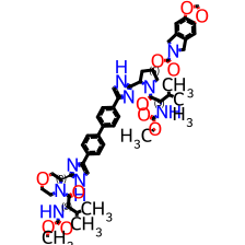 COC(=O)N[C@H](C(=O)N1C[C@@H](OC(=O)N2Cc3cc4c(cc3C2)OCO4)CC1c1nc(-c2ccc(-c3ccc(-c4c[nH]c([C@@H]5COCCN5C(=O)[C@@H](NC(=O)OC)C(C)C)n4)cc3)cc2)c[nH]1)C(C)C